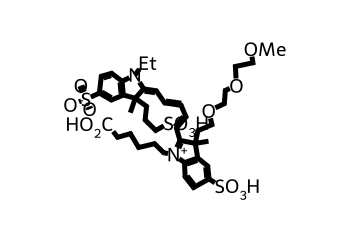 CCN1/C(=C/C=C/C=C/C2=[N+](CCCCCC(=O)O)c3ccc(S(=O)(=O)O)cc3C2(C)CCOCCOCCOC)C(C)(CCCS(=O)(=O)O)c2cc(S(=O)(=O)[O-])ccc21